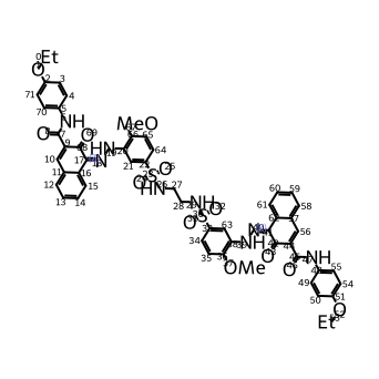 CCOc1ccc(NC(=O)C2=Cc3ccccc3/C(=N/Nc3cc(S(=O)(=O)NCCNS(=O)(=O)c4ccc(OC)c(N/N=C5\C(=O)C(C(=O)Nc6ccc(OCC)cc6)=Cc6ccccc65)c4)ccc3OC)C2=O)cc1